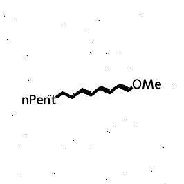 [CH2]O/C=C/C=C/C=C/CCCCCCC